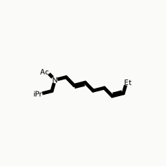 CC/C=C\CC/C=C/CN(CC(C)C)C(C)=O